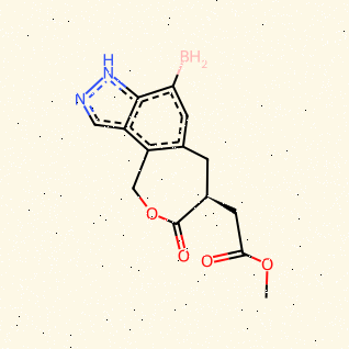 Bc1cc2c(c3cn[nH]c13)COC(=O)[C@H](CC(=O)OC)C2